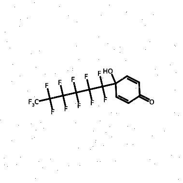 O=C1C=CC(O)(C(F)(F)C(F)(F)C(F)(F)C(F)(F)C(F)(F)C(F)(F)F)C=C1